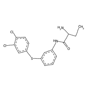 CCC(N)C(=O)Nc1cccc(Sc2ccc(Cl)c(Cl)c2)c1